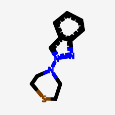 c1ccc2nn(N3CCSCC3)cc2c1